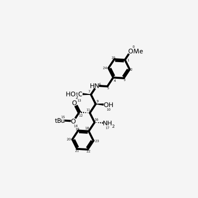 COc1ccc(CN[C@H](C(=O)O)[C@@H](O)[C@@H](C(=O)OC(C)(C)C)[C@H](N)c2ccccc2)cc1